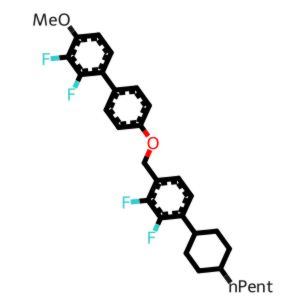 CCCCCC1CCC(c2ccc(COc3ccc(-c4ccc(OC)c(F)c4F)cc3)c(F)c2F)CC1